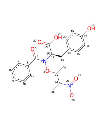 CC(ON(C(=O)c1ccccc1)[C@H](Cc1ccc(O)cc1)C(=O)O)C(C)[N+](=O)[O-]